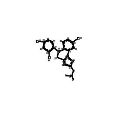 CN(C)Cc1nc2n(n1)-c1cc(Cl)ccc1N(c1ccc(Cl)cc1Cl)C2